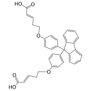 O=C(O)C=CCCOc1ccc(C2(c3ccc(OCCC=CC(=O)O)cc3)c3ccccc3-c3ccccc32)cc1